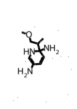 COCC(C)C1(N)C=CC(N)=CN1